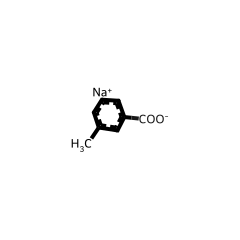 Cc1cccc(C(=O)[O-])c1.[Na+]